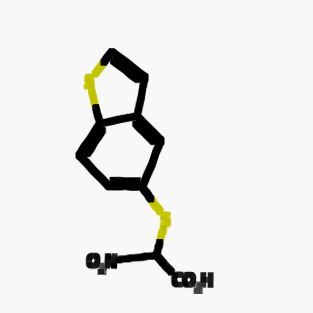 O=C(O)C(Sc1ccc2sccc2c1)[N+](=O)[O-]